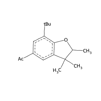 CC(=O)c1cc(C(C)(C)C)c2c(c1)C(C)(C)C(C)O2